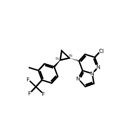 Cc1cc([C@H]2C[C@@H]2c2cc(Cl)nn3ccnc23)ccc1C(F)(F)F